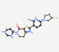 O=C1c2sc(-c3ccc(N4CCC(F)C4)nc3I)nc2CCN1c1ccncn1